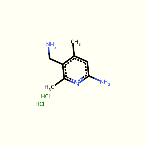 Cc1cc(N)nc(C)c1CN.Cl.Cl